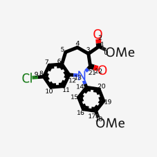 COC(=O)C1CCc2cc(Cl)ccc2N(c2ccc(OC)cc2)C1=O